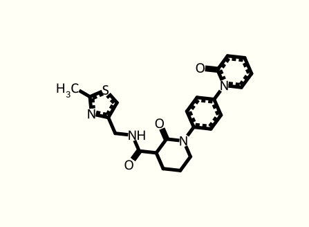 Cc1nc(CNC(=O)C2CCCN(c3ccc(-n4ccccc4=O)cc3)C2=O)cs1